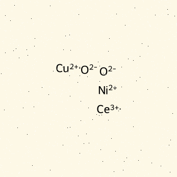 [Ce+3].[Cu+2].[Ni+2].[O-2].[O-2]